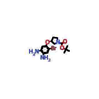 CC(C)(C)OC(=O)N1CC[C@H](Oc2cc(N)c(N)cc2Br)C1